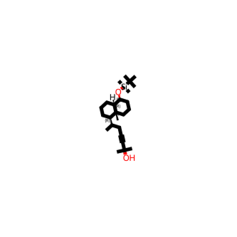 CC(CC#CC(C)(C)O)[C@H]1CCC[C@H]2[C@@H](O[Si](C)(C)C(C)(C)C)CCC[C@]12C